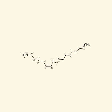 CCCCCCCCCCC/C=C\CCCCCN